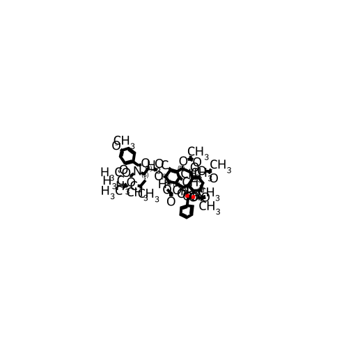 COc1ccc(C2O[C@@H](C(=O)O[C@@H]3C(C)=C4[C@@H](OC(C)=O)C(=O)[C@]5(C)[C@@H](OC(C)=O)C[C@@H](C)[C@](CO)(OC(C)=O)[C@H]5[C@H](OC(=O)c5ccccc5)[C@@]5(OC(=O)O[C@@H]35)C4(C)C)[C@H](CC(C)C)N2C(=O)OC(C)(C)C)c(OC)c1